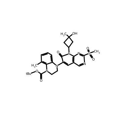 Cc1cccc2c1N(C(=O)OC(C)(C)C)CCN2c1cc2cnc(S(C)(=O)=O)nc2n(C2CC(C)(O)C2)c1=O